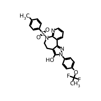 Cc1ccc(S(=O)(=O)N2CCc3c(nn(-c4ccc(OC(C)(F)F)cc4)c3O)-c3cccnc32)cc1